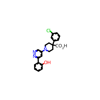 O=C(O)C1(c2cccc(Cl)c2)CCN(c2cnnc(-c3ccccc3O)c2)CC1